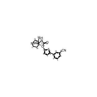 N#Cc1cccc(-c2ccc(OC(=O)N[C@H]3CN4CCC3CC4)s2)c1